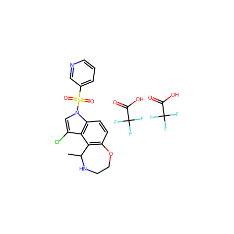 CC1NCCOc2ccc3c(c(Cl)cn3S(=O)(=O)c3cccnc3)c21.O=C(O)C(F)(F)F.O=C(O)C(F)(F)F